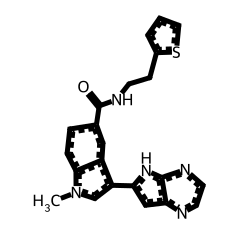 Cn1cc(-c2cc3nccnc3[nH]2)c2cc(C(=O)NCCc3cccs3)ccc21